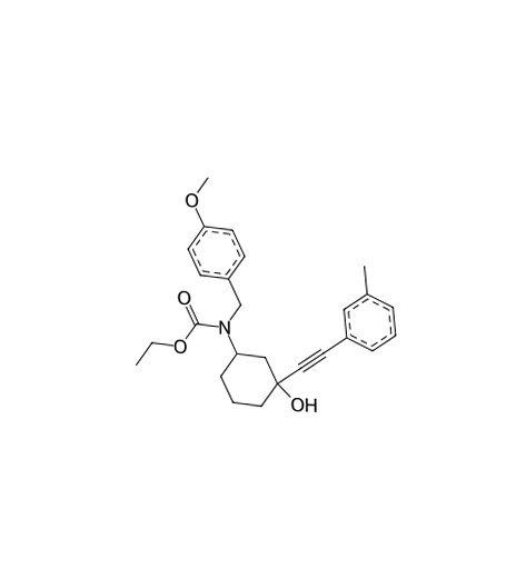 CCOC(=O)N(Cc1ccc(OC)cc1)C1CCCC(O)(C#Cc2cccc(C)c2)C1